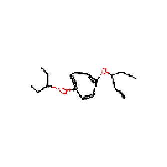 CCC(CC)Oc1ccc(OC(CC)CC)cc1